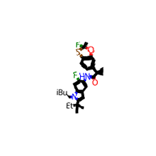 CC[C@H](C)Cn1c(C(C)(C)CC)cc2cc(NC(=O)C3(c4ccc5c(c4)OC(C)(F)S5)CC3)c(F)cc21